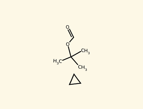 C1CC1.CC(C)(C)OC=O